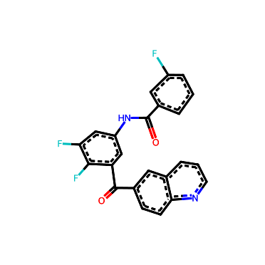 O=C(Nc1cc(F)c(F)c(C(=O)c2ccc3ncccc3c2)c1)c1cccc(F)c1